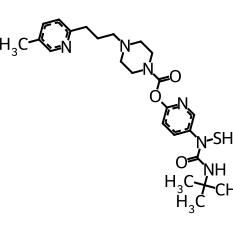 Cc1ccc(CCCN2CCN(C(=O)Oc3ccc(N(S)C(=O)NC(C)(C)C)cn3)CC2)nc1